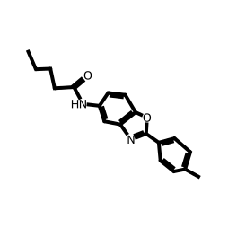 CCCCC(=O)Nc1ccc2oc(-c3ccc(C)cc3)nc2c1